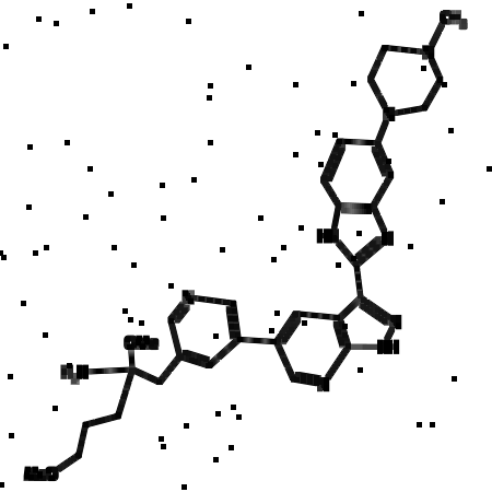 COCCCC(N)(Cc1cncc(-c2cnc3[nH]nc(-c4nc5cc(N6CCN(C)CC6)ccc5[nH]4)c3c2)c1)OC